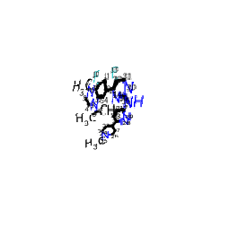 CC(C)N1CCN(C)c2c(F)cc(-c3nc(Nc4ccc(C5CCN(C)CC5)nn4)ncc3F)cc21